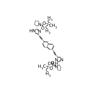 CC(C)(C)OC(=O)N1CCC[C@H]1c1nc(C#Cc2ccc3cc(C#Cc4cnc([C@@H]5CCCN5C(=O)OC(C)(C)C)[nH]4)ccc3c2)c[nH]1